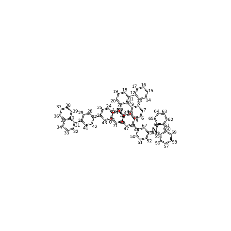 c1ccc(-c2ccccc2-c2c(-c3ccccc3)cccc2N(c2ccc(-c3ccc(-c4cccc5ccccc45)cc3)cc2)c2ccc(-c3cccc(-n4c5ccccc5c5ccccc54)c3)cc2)cc1